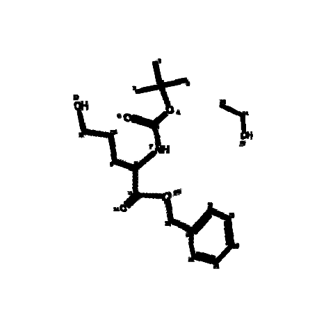 CC(C)(C)OC(=O)NC(CCCO)C(=O)OCc1ccccc1.CCO